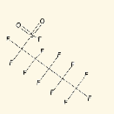 O=S(=O)(F)C(F)(F)C(F)(F)C(F)(F)C(F)(F)C(F)(F)F